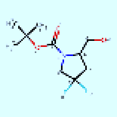 CC(C)(C)OC(=O)N1CC(F)(F)CC1C[O]